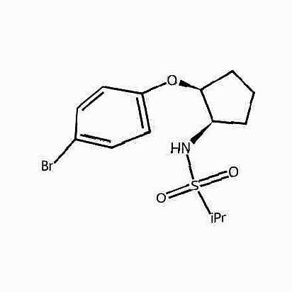 CC(C)S(=O)(=O)N[C@@H]1CCC[C@@H]1Oc1ccc(Br)cc1